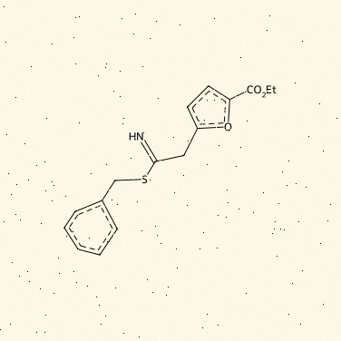 CCOC(=O)c1ccc(CC(=N)SCc2ccccc2)o1